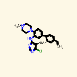 C=Cc1ccc(-c2ccc(N3CCN(C)CC3)c(Nc3ncnc(Cl)c3NC)c2)cc1